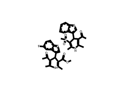 CC(=O)C1=C(C)NC(C)=C(S(C)(=O)=O)C1c1csc2ccccc12.COC(=O)C1=C(C)NC(C)=C(C(C)=O)C1c1csc2ccc(F)cc12